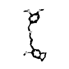 COc1cc2c(cc1CCCN=Cc1ccc(OC)c(OC)c1)CCC2